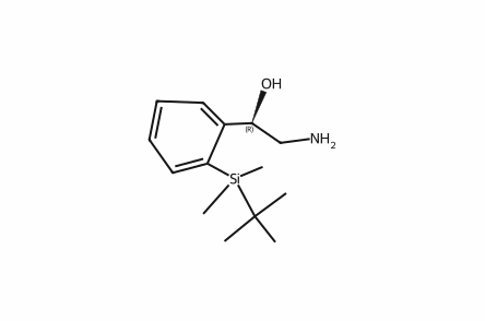 CC(C)(C)[Si](C)(C)c1ccccc1[C@@H](O)CN